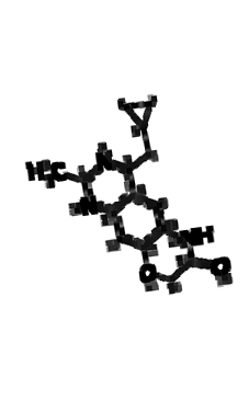 Cc1nc(CC2CC2)c2cc3c(cc2n1)OCC(=O)N3